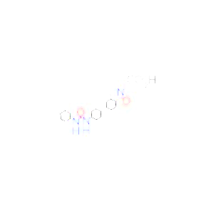 Cc1ccc(NC(=O)Nc2ccc(-c3ccc4c(c3)CCN(CCC(=O)O)C4=O)cc2)cc1